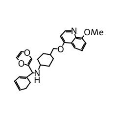 COc1cccc2c(OCC3CCC(NC(C4=CC=CCC4)C4=COC=CO4)CC3)ccnc12